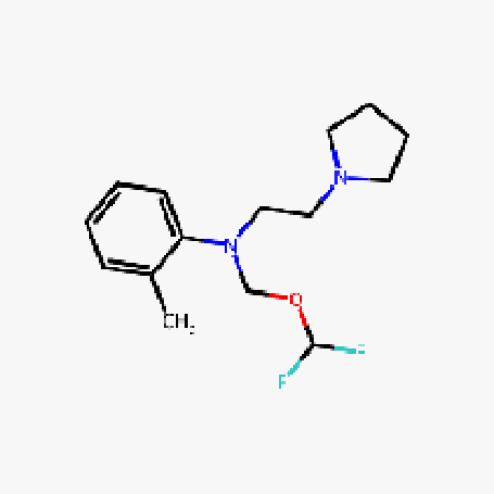 Cc1ccccc1N(CCN1CCCC1)COC(F)F